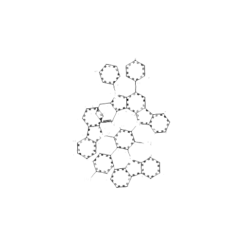 CC(C)(C)c1ccc(-c2c(-n3c4ccccc4c4ccccc43)c(C#N)c(-n3c4ccccc4c4cc(-c5ccccc5)c5c(c6c(n5-c5ccccc5)CCC=C6)c43)c(C#N)c2-n2c3ccccc3c3ccccc32)cc1